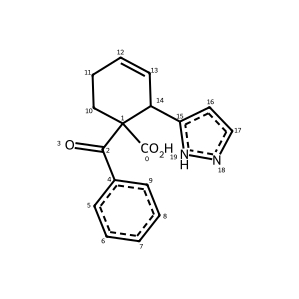 O=C(O)C1(C(=O)c2ccccc2)CCC=CC1c1ccn[nH]1